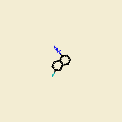 N#[N+]c1cccc2cc(F)ccc12